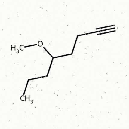 [C]#CCCC(CCC)OC